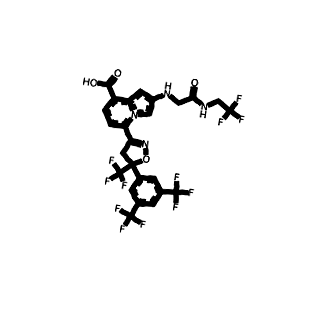 O=C(CNc1cc2c(C(=O)O)ccc(C3=NOC(c4cc(C(F)(F)F)cc(C(F)(F)F)c4)(C(F)(F)F)C3)n2c1)NCC(F)(F)F